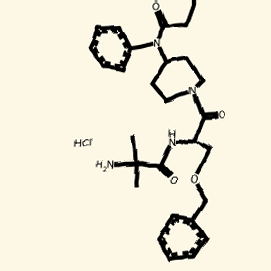 CCC(=O)N(c1ccccc1)C1CCN(C(=O)[C@@H](COCc2ccccc2)NC(=O)C(C)(C)N)CC1.Cl